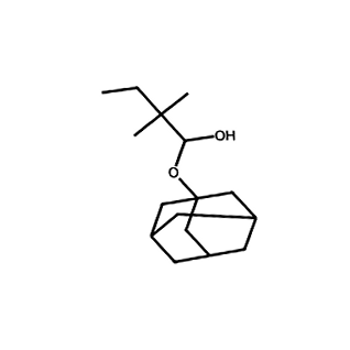 CCC(C)(C)C(O)OC12CC3CC(CC(C3)C1)C2